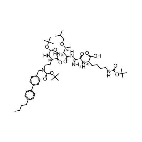 CCCCc1ccc(-c2ccc(CN(CC[C@@H](NC(=O)OC(C)(C)C)C(=O)N[C@@H](C(=O)N[C@H](N)C(=O)N[C@H](CCCCNC(=O)OC(C)(C)C)C(=O)O)[C@H](C)OCC(C)C)C(=O)OC(C)(C)C)cc2)cc1